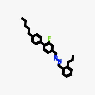 CCCCCc1ccc(-c2ccc(C=NN=Cc3ccccc3CCC)cc2F)cc1